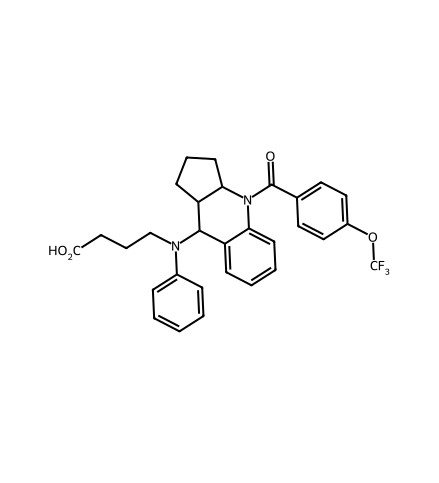 O=C(O)CCCN(c1ccccc1)C1c2ccccc2N(C(=O)c2ccc(OC(F)(F)F)cc2)C2CCCC12